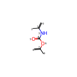 C=C(C)NC(=O)OC(=C)C